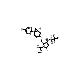 COC(=O)N1[C@H](C)C[C@H](NS(=O)(=O)C(F)(F)F)[C@@H]1CO[C@H]1CC[C@@]2(c3ncc(F)cn3)C[C@H]2C1